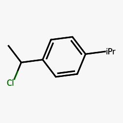 CC(C)c1ccc(C(C)Cl)cc1